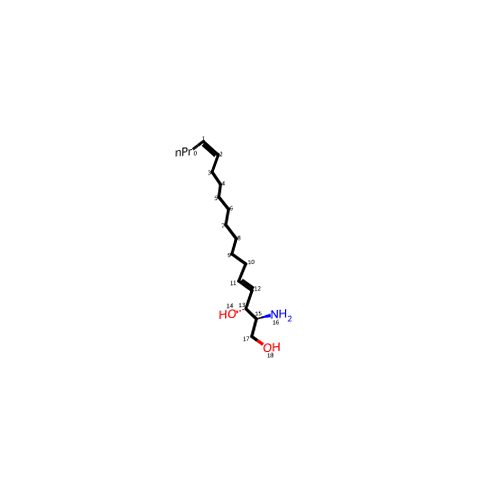 CCC/C=C\CCCCCCCC/C=C/[C@@H](O)[C@@H](N)CO